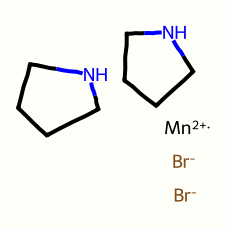 C1CCNC1.C1CCNC1.[Br-].[Br-].[Mn+2]